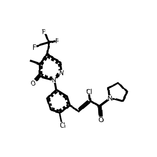 Cc1c(C(F)(F)F)cnn(-c2ccc(Cl)c(C=C(Cl)C(=O)N3CCCC3)c2)c1=O